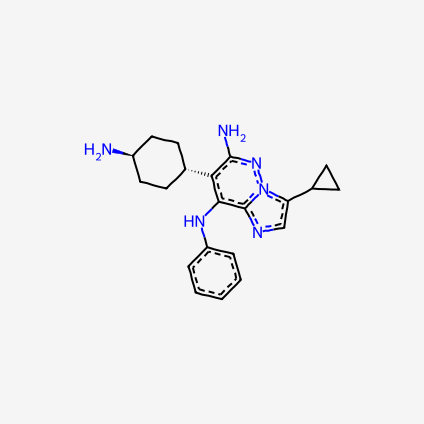 Nc1nn2c(C3CC3)cnc2c(Nc2ccccc2)c1[C@H]1CC[C@H](N)CC1